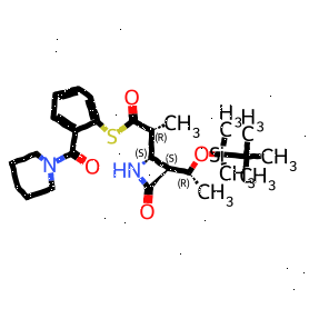 C[C@@H](O[Si](C)(C)C(C)(C)C)[C@H]1C(=O)N[C@@H]1[C@@H](C)C(=O)Sc1ccccc1C(=O)N1CCCCC1